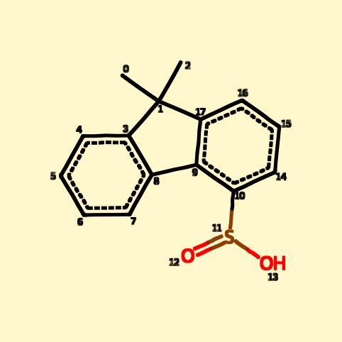 CC1(C)c2ccccc2-c2c(S(=O)O)cccc21